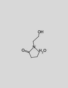 O.O=C1CCCN1CCO